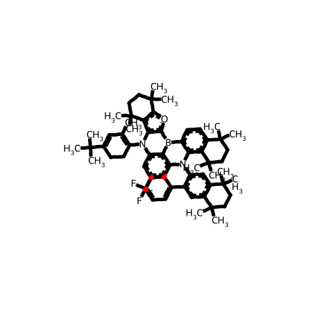 CC1=C(N2c3cc(C(F)(F)F)cc4c3B(c3ccc5c(c3N4c3cc4c(cc3C3=CC=CCC3)C(C)(C)CCC4(C)C)C(C)(C)CCC5(C)C)c3oc4c(c32)C(C)(C)CCC4(C)C)CCC(C(C)(C)C)=C1